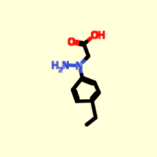 CCc1ccc(N(N)CC(=O)O)cc1